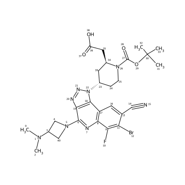 CN(C)C1CN(c2nc3c(F)c(Br)c(C#N)cc3c3c2nnn3[C@H]2CCN(C(=O)OC(C)(C)C)[C@H](CC(=O)O)C2)C1